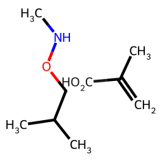 C=C(C)C(=O)O.CNOCC(C)C